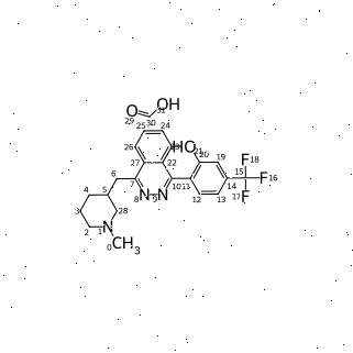 CN1CCCC(Cc2nnc(-c3ccc(C(F)(F)F)cc3O)c3ccccc23)C1.O=CO